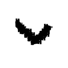 C[S+](C)c1ccc(O)c2ccccc12.C[S+](C)c1ccc(O)c2ccccc12.C[S+](C)c1ccc(O)c2ccccc12.C[S+](C)c1ccc(O)c2ccccc12.C[S+](C)c1ccc(O)c2ccccc12.C[S+](C)c1ccc(O)c2ccccc12.O=[PH]([O-])F.O=[PH]([O-])F.O=[PH]([O-])F.O=[PH]([O-])F.O=[PH]([O-])F.O=[PH]([O-])F